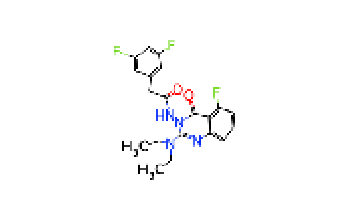 CCN(CC)c1nc2cccc(F)c2c(=O)n1NC(=O)Cc1cc(F)cc(F)c1